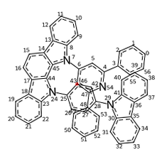 c1ccc(-c2cc(-n3c4ccccc4c4ccc5c6ccccc6n(-c6ccc(-n7c8ccccc8c8ccccc87)cc6)c5c43)cc(-c3ccccc3)n2)cc1